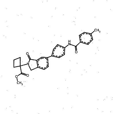 COC(=O)C1(N2Cc3ccc(-c4ccc(NC(=O)c5ccc(C)cc5)cc4)cc3C2=O)CCC1